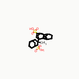 CC1(C23CC(C4C5CCC(C5)C42)C(S(=O)(=O)O)C3)CC2CCC[C@@](S(=O)(=O)O)(C2)C1